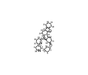 c1ccc(-c2cccc(Oc3ccc4c5c6oc7ccccc7c6ccc5n(-c5ccccn5)c4c3)c2)nc1